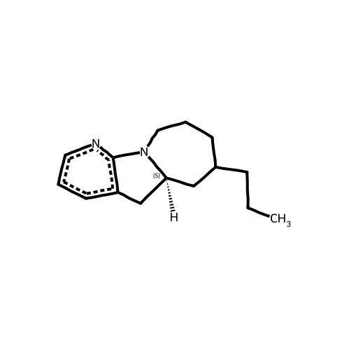 CCCC1CCCN2c3ncccc3C[C@@H]2C1